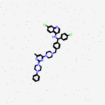 Cc1cc(N2CCN(Cc3ccc(C(Nc4ccnc5cc(Cl)ccc45)c4ccc(Cl)cc4)cc3)CC2)nc(N2CCN(c3ccccc3)CC2)n1